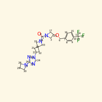 O=C(N1CC(OCc2ccc(C(F)(F)F)cc2)C1)N1CC2(CC(n3cnc(N4CCC4)n3)C2)C1